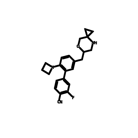 N#Cc1ccc(-c2cc(CC3CNC4(CC4)CO3)ccc2N2CCC2)cc1F